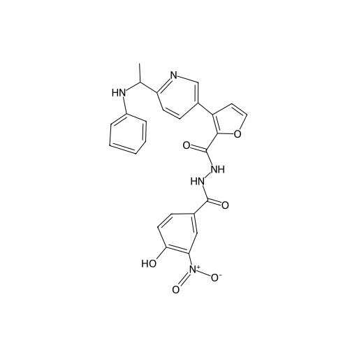 CC(Nc1ccccc1)c1ccc(-c2ccoc2C(=O)NNC(=O)c2ccc(O)c([N+](=O)[O-])c2)cn1